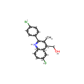 Cc1c(-c2ccc(Br)cc2)nc2ccc(F)cc2c1CO